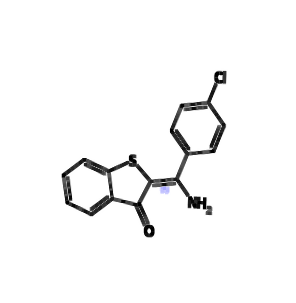 N/C(=C1/Sc2ccccc2C1=O)c1ccc(Cl)cc1